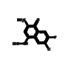 CCOC(=O)c1cn(NC=O)c2cc(Cl)c(F)cc2c1=O